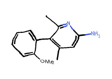 COc1ccccc1-c1c(C)cc(N)nc1C